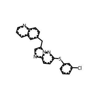 Clc1cccc(Sc2ccc3ncc(Cc4ccc5ncccc5c4)n3n2)c1